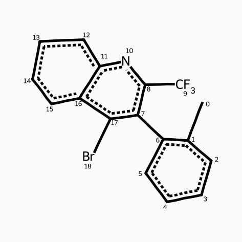 Cc1ccccc1-c1c(C(F)(F)F)nc2ccccc2c1Br